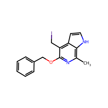 Cc1nc(OCc2ccccc2)c(CI)c2cc[nH]c12